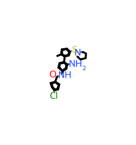 Cc1ccc(SN2CCCCC2)cc1-c1ccc(NC(=O)c2ccc(Cl)cc2)cc1N